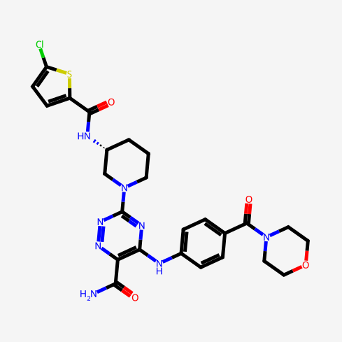 NC(=O)c1nnc(N2CCC[C@@H](NC(=O)c3ccc(Cl)s3)C2)nc1Nc1ccc(C(=O)N2CCOCC2)cc1